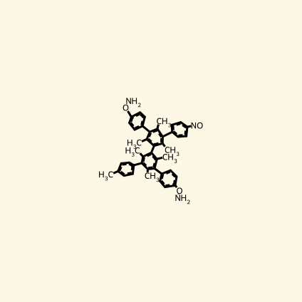 Cc1ccc(-c2c(C)c(-c3ccc(ON)cc3)c(C)c(-c3c(C)c(-c4ccc(N=O)cc4)c(C)c(-c4ccc(ON)cc4)c3C)c2C)cc1